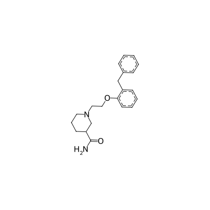 NC(=O)C1CCCN(CCOc2ccccc2Cc2ccccc2)C1